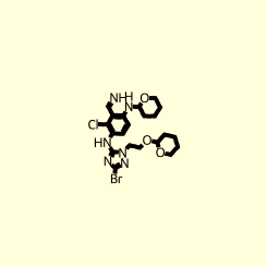 N=Cc1c(NC2CCCCO2)ccc(Nc2nc(Br)nn2CCOC2CCCCO2)c1Cl